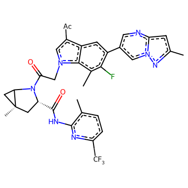 CC(=O)c1cn(CC(=O)N2C3C[C@]3(C)C[C@H]2C(=O)Nc2nc(C(F)(F)F)ccc2C)c2c(C)c(F)c(-c3cnc4cc(C)nn4c3)cc12